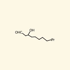 CC(C)CCCCCC(O)CC=O